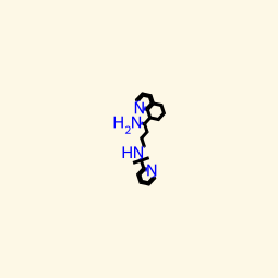 CC(C)(NCCCC(N)C1CCCc2cccnc21)c1ccccn1